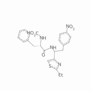 CCc1nc(C(Cc2ccc([N+](=O)[O-])cc2)NC(=O)[C@H](Cc2ccccc2)NC(=O)O)cs1